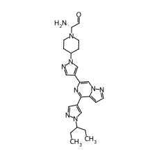 CCC(CC)n1cc(-c2nc(-c3cnn(C4CCN([C@H](N)C=O)CC4)c3)cn3nccc23)cn1